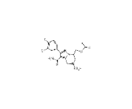 NC(=O)c1c(-c2ccc(F)c(Cl)c2)nn2c1CN(C(=O)O)CC2COC(F)F